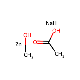 CC(=O)O.CO.[NaH].[Zn]